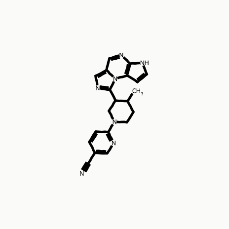 CC1CCN(c2ccc(C#N)cn2)CC1c1ncc2cnc3[nH]ccc3n12